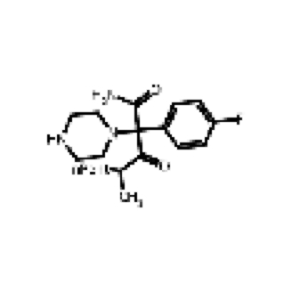 CCCCCC(C)C(=O)C(C(N)=O)(c1ccc(F)cc1)N1CCNCC1